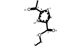 CCOC(=O)c1csc(C(C)=O)n1